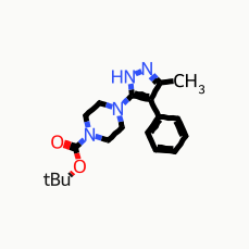 Cc1n[nH]c(N2CCN(C(=O)OC(C)(C)C)CC2)c1-c1ccccc1